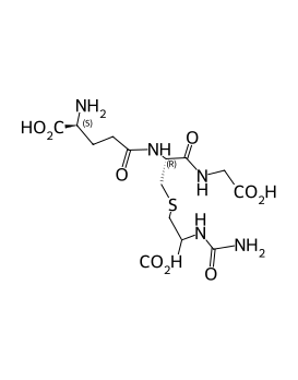 NC(=O)NC(CSC[C@H](NC(=O)CC[C@H](N)C(=O)O)C(=O)NCC(=O)O)C(=O)O